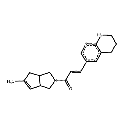 CC1=CC2CN(C(=O)/C=C/c3cnc4c(c3)CCCN4)CC2C1